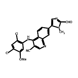 COc1cc(Nc2c(C#N)cnc3cc(-c4cnc(C=O)n4C)ccc23)c(Cl)cc1Cl